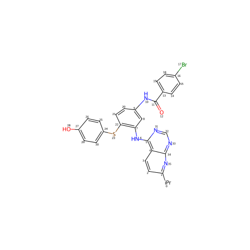 CC(C)c1ccc2c(Nc3cc(NC(=O)c4ccc(Br)cc4)ccc3Sc3ccc(O)cc3)ncnc2n1